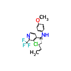 C=CCC[C@@H](Nc1ccc(OC)cc1)c1ccnc(C(F)(F)F)c1Cl